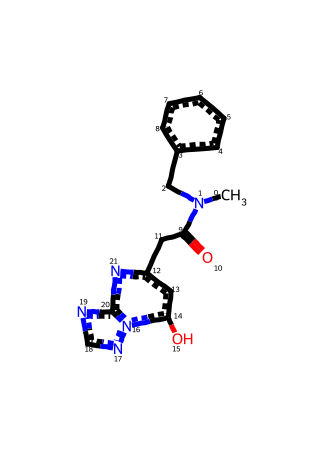 CN(Cc1ccccc1)C(=O)Cc1cc(O)n2ncnc2n1